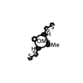 COc1c2cccc1Cc1cc(-c3ccc(-c4cccs4)s3)cc(c1O)Cc1cccc(c1OC)Cc1cc(-c3ccc(-c4cccs4)s3)cc(c1O)C2